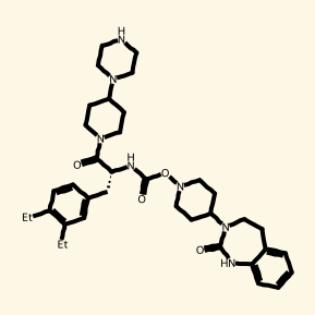 CCc1ccc(C[C@@H](NC(=O)ON2CCC(N3CCc4ccccc4NC3=O)CC2)C(=O)N2CCC(N3CCNCC3)CC2)cc1CC